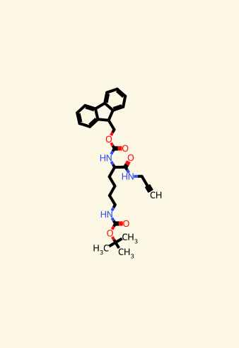 C#CCNC(=O)C(CCCCNC(=O)OC(C)(C)C)NC(=O)OCC1c2ccccc2-c2ccccc21